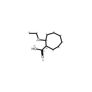 CCOC1CCCCCCC1C(=O)O